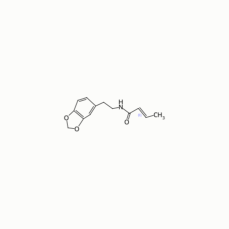 C/C=C/C(=O)NCCc1ccc2c(c1)OCO2